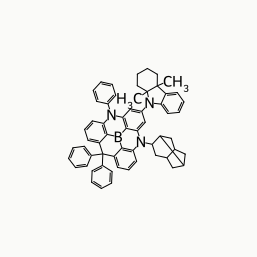 CC12CCCCC1(C)N(c1cc3c4c(c1)N(C1CC5CC6CC5CC61)c1cccc5c1B4c1c(cccc1C5(c1ccccc1)c1ccccc1)N3c1ccccc1)c1ccccc12